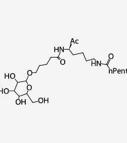 CCCCCC(=O)NCCCC[C@@H](NC(=O)CCCCOC1OC(CO)C(O)C(O)C1O)C(C)=O